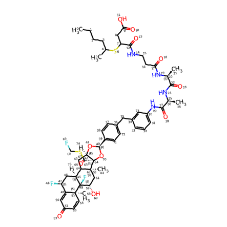 CCCCC(C)SC(CC(=O)O)C(=O)NCCC(=O)N[C@@H](C)C(=O)N[C@@H](C)C(=O)Nc1cccc(Cc2ccc([C@@H]3O[C@@H]4CC5[C@@H]6C[C@H](F)C7=CC(=O)C=C[C@]7(C)[C@@]6(F)[C@@H](O)C[C@]5(C)[C@]4(C(=O)SCF)O3)cc2)c1